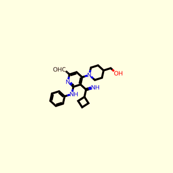 N=C(c1c(N2CCC(CO)CC2)cc(C=O)nc1Nc1ccccc1)C1CCC1